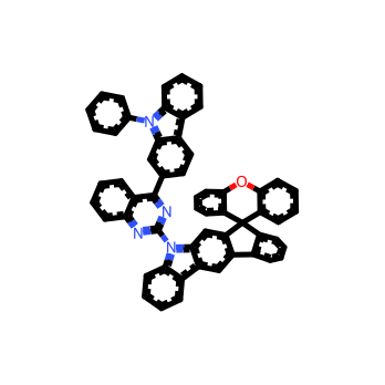 c1ccc(-n2c3ccccc3c3ccc(-c4nc(-n5c6ccccc6c6cc7c(cc65)C5(c6ccccc6Oc6ccccc65)c5ccccc5-7)nc5ccccc45)cc32)cc1